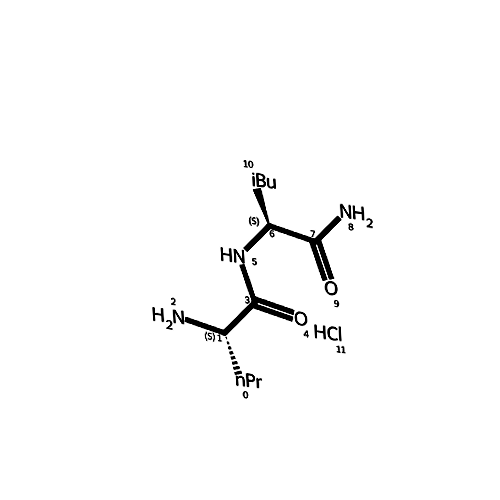 CCC[C@H](N)C(=O)N[C@H](C(N)=O)C(C)CC.Cl